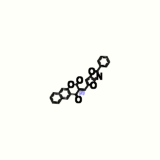 O=C1Oc2cc3ccccc3cc2C(=O)/C1=C/c1cc2oc(-c3ccccc3)nc2o1